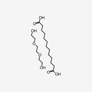 O=C(O)CCCCCCCCCCCC(=O)O.OCCOCCOCCO